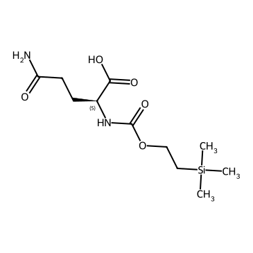 C[Si](C)(C)CCOC(=O)N[C@@H](CCC(N)=O)C(=O)O